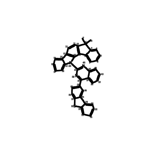 CC1(C)c2ccccc2-c2c1ccc1c3ccccc3n(-c3nc(-c4ccc5sc6ccccc6c5c4)c4ccccc4n3)c21